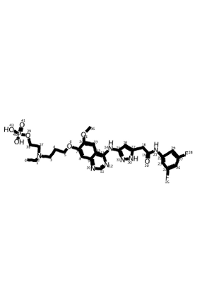 CCN(CCCOc1cc2ncnc(Nc3cc(CC(=O)Nc4cc(F)cc(F)c4)[nH]n3)c2cc1OC)CCOP(=O)(O)O